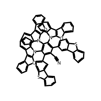 N#Cc1c(-c2ccc3sc4ccccc4c3c2)c(-n2c3ccccc3c3c4ccccc4oc32)c(-n2c3ccccc3c3c4ccccc4oc32)c(-n2c3ccccc3c3c4ccccc4oc32)c1-c1ccc2sc3ccccc3c2c1